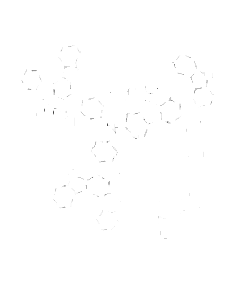 CCCCCCCC1(CCCCCCC)c2cc(N(c3ccc4c(c3)C(C)(C)c3cc5c(cc3-4)C(C)(C)c3ccc4oc6ccccc6c4c3-5)c3ccc4c(c3)C(C)(C)c3c5c(c6c(oc7ccccc76)c3-4)-c3ccccc3C5(C)C)ccc2-c2c1c1c(c3c2oc2ccccc23)-c2ccccc2C1(CCCCCCC)CCCCCCC